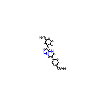 COc1ccc(-c2cnc3c(-c4cccc(C#N)c4)nnn3c2)cc1